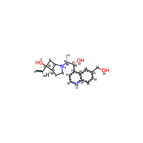 C=C[C@]1(O)CC2[C@H]1CCN2[C@H](C)[C@H](O)c1ccnc2ccc(CO)cc12